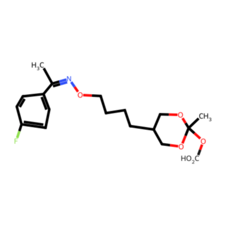 CC(=NOCCCCC1COC(C)(OC(=O)O)OC1)c1ccc(F)cc1